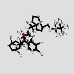 [2H]C([2H])(Oc1nc(N2C[C@H]3CC[C@@H](C2)N3C(=O)OC(C)(C)C)c2cnc(Cl)c(F)c2n1)C12CCCN1C(CO[Si](C)(C)C(C)(C)C)CC2